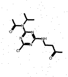 CC(=O)CCNc1nc(Cl)nc(N(C(C)=O)C(C)C)n1